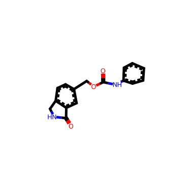 O=C(Nc1ccccc1)OCc1ccc2c(c1)C(=O)NC2